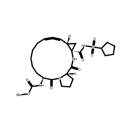 CC(C)(C)OC(=O)N[C@H]1CCCCCC=C=C[C@@H]2C[C@@]2(C(=O)NS(=O)(=O)C2CCCC2)NC(=O)[C@@H]2CCCN2C1=O